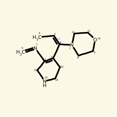 C=NC1=C(/C(=C\C)N2CCOCC2)CCNC1